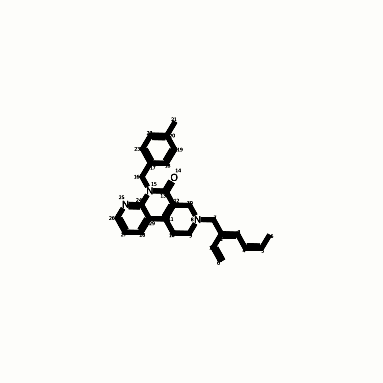 C=C/C(=C\C=C/C)CN1CCc2c(c(=O)n(Cc3ccc(C)cc3)c3ncccc23)C1